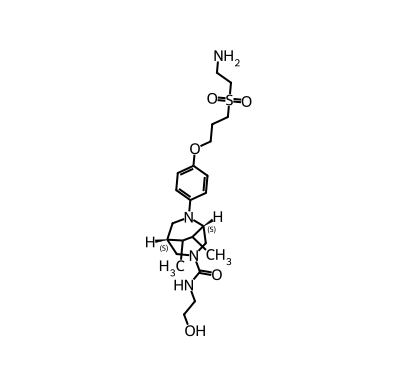 CC1C(C)[C@H]2CN(C(=O)NCCO)C[C@@H]1CN2c1ccc(OCCCS(=O)(=O)CCN)cc1